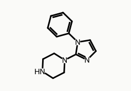 c1ccc(-n2ccnc2N2CCNCC2)cc1